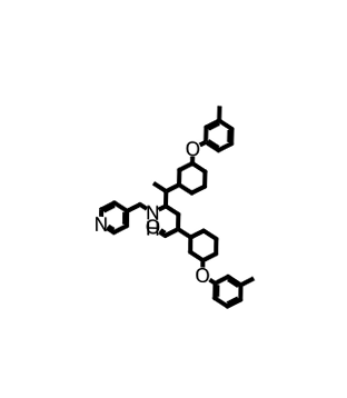 Cc1cccc(OC2CCCC(C(C=O)CC(NCc3ccncc3)C(C)C3CCCC(Oc4cccc(C)c4)C3)C2)c1